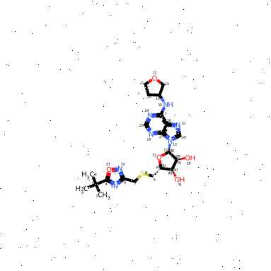 CC(C)(C)c1nc(CSC[C@@H]2O[C@@H](n3cnc4c(NC5CCOC5)ncnc43)[C@@H](O)[C@H]2O)no1